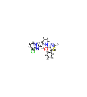 CC1=NC(C(=O)N2CCCC[C@H]2Cc2cn3cccc(Cl)c3n2)C(c2ccccc2)S1